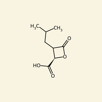 CC(C)CC1C(=O)O[C@H]1C(=O)O